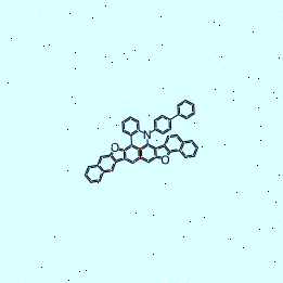 c1ccc(-c2ccc(N(c3ccccc3-c3cccc4c3oc3cc5ccccc5cc34)c3cccc4oc5c6ccccc6ccc5c34)cc2)cc1